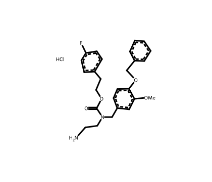 COc1cc(CN(CCN)C(=O)OCCc2ccc(F)cc2)ccc1OCc1ccccc1.Cl